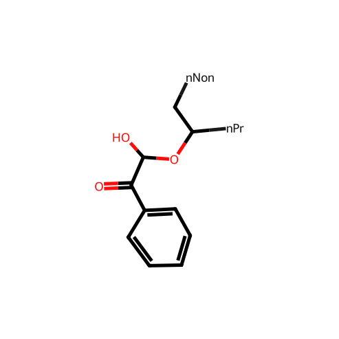 CCCCCCCCCCC(CCC)OC(O)C(=O)c1ccccc1